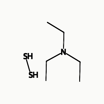 CCN(CC)CC.SS